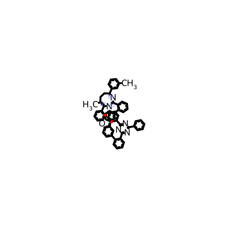 C/C1=C(c2ccccc2)/N=C(c2ccccc2-c2ccc3oc4ccc(-c5ccccc5-c5nc(-c6ccccc6)nc(-c6ccccc6)n5)cc4c3c2)\N=C(\c2cccc(C)c2)CC1